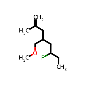 C=C(C)CC(COC)CC(F)CC